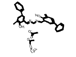 CC(=O)[O-].CC(=O)[O-].Cc1cc(-c2ccccc2)cc(C=NCN=Cc2cc(-c3ccccc3)cc(C)c2O)c1O.[Co+2]